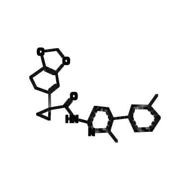 Cc1cccc(-c2ccc(NC(=O)C3(C4=CC5=C(CC4)OCO5)CC3)nc2C)c1